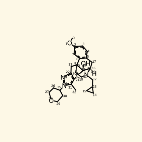 COc1ccc2c(c1)[C@]13CCN(CC4CC4)[C@H](C2)[C@]1(O)Cc1c(nn(C2CCOCC2)c1C)C3